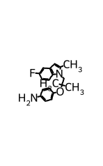 Cc1cc2cc(F)ccc2n1CC(C)(C)Oc1ccc(N)cc1